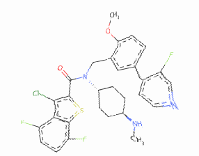 CN[C@H]1CC[C@H](N(Cc2cc(-c3ccncc3F)ccc2OC)C(=O)c2sc3c(F)ccc(F)c3c2Cl)CC1